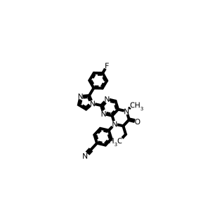 CCC1C(=O)N(C)c2cnc(-n3ccnc3-c3ccc(F)cc3)nc2N1c1ccc(C#N)cc1